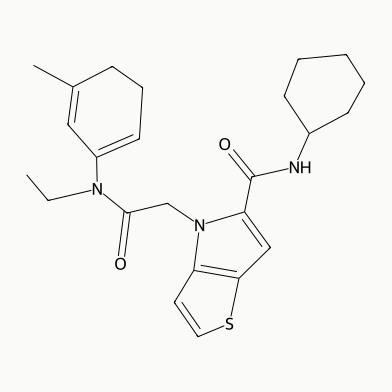 CCN(C(=O)Cn1c(C(=O)NC2CCCCC2)cc2sccc21)C1=CCCC(C)=C1